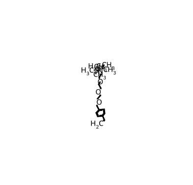 C=Cc1ccc(COCCOCCOCCN([Si](C)(C)C)[Si](C)(C)C)cc1